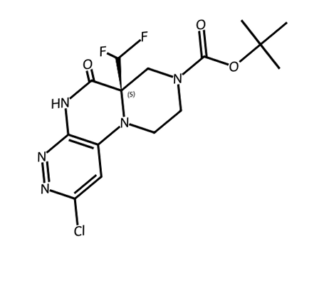 CC(C)(C)OC(=O)N1CCN2c3cc(Cl)nnc3NC(=O)[C@]2(C(F)F)C1